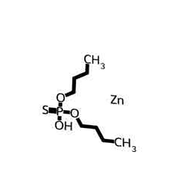 CCCCOP(O)(=S)OCCCC.[Zn]